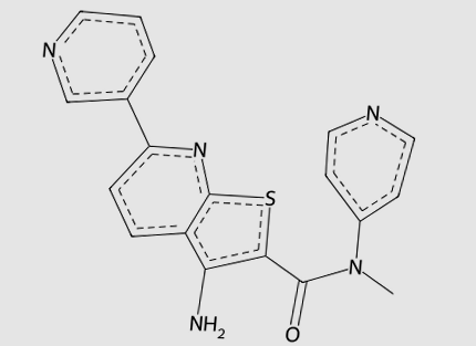 CN(C(=O)c1sc2nc(-c3cccnc3)ccc2c1N)c1ccncc1